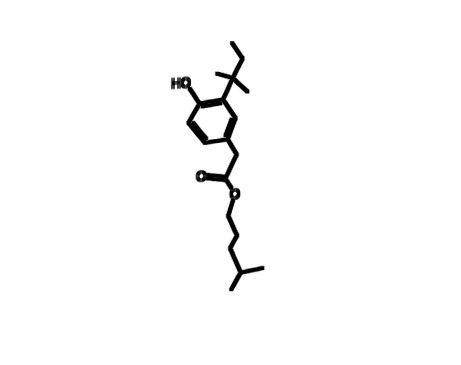 CCC(C)(C)c1cc(CC(=O)OCCCC(C)C)ccc1O